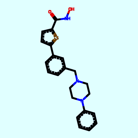 O=C(NO)c1ccc(-c2cccc(CN3CCN(c4ccccc4)CC3)c2)s1